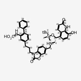 CC(C)(C)[Si](C)(C)O[C@@H](CNCc1ccc2c(c1)oc(=O)n2CCCc1ccc(-c2ccccc2)c(NC(=O)O)c1)c1ccc(O)c2[nH]c(=O)ccc12